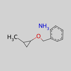 CC1CC1OCc1ccccc1.N